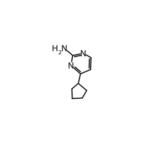 Nc1nccc(C2CCCC2)n1